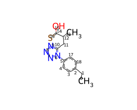 CCc1ccc(-n2nnnc2CC(C)C(O)=S)cc1